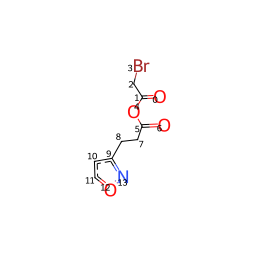 O=C(CBr)OC(=O)CCc1ccon1